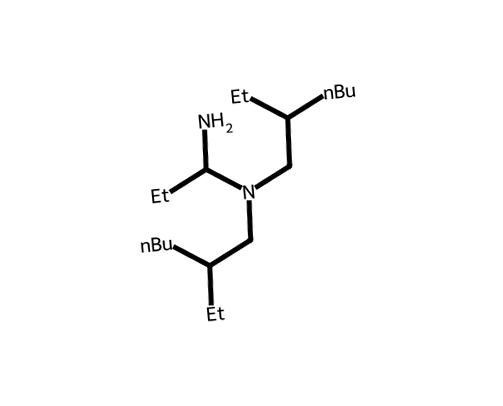 CCCCC(CC)CN(CC(CC)CCCC)C(N)CC